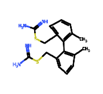 Cc1cccc(CSC(=N)N)c1-c1c(C)cccc1CSC(=N)N